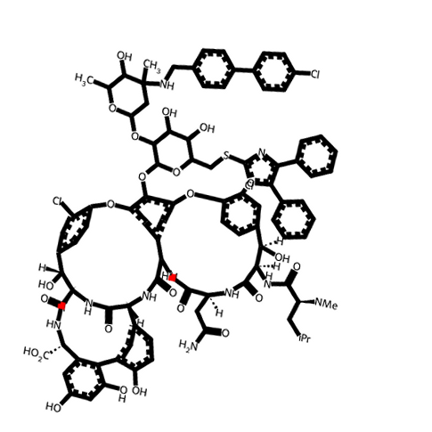 CN[C@@H](CC(C)C)C(=O)N[C@H]1C(=O)N[C@@H](CC(N)=O)C(=O)N[C@H]2C(=O)N[C@H]3C(=O)N[C@H](C(=O)N[C@@H](C(=O)O)c4cc(O)cc(O)c4-c4cc3ccc4O)[C@H](O)c3ccc(c(Cl)c3)Oc3cc2cc(c3OC2OC(CSc3nc(-c4ccccc4)c(-c4ccccc4)o3)C(O)C(O)C2OC2CC(C)(NCc3ccc(-c4ccc(Cl)cc4)cc3)C(O)C(C)O2)Oc2ccc(cc2Cl)[C@H]1O